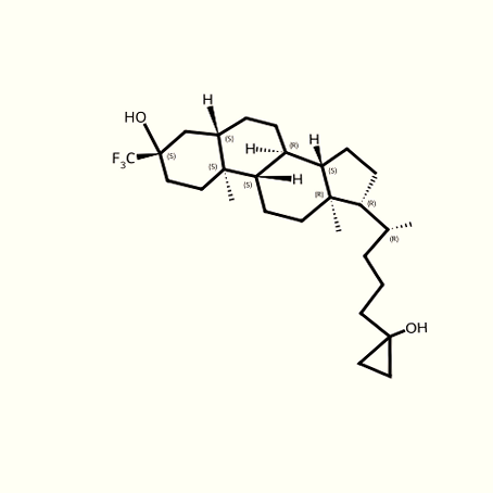 C[C@H](CCCC1(O)CC1)[C@H]1CC[C@H]2[C@@H]3CC[C@H]4C[C@](O)(C(F)(F)F)CC[C@]4(C)[C@H]3CC[C@]12C